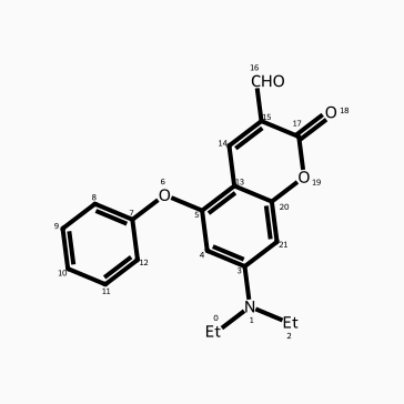 CCN(CC)c1cc(Oc2ccccc2)c2cc(C=O)c(=O)oc2c1